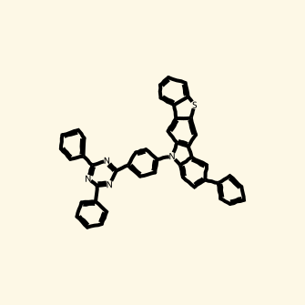 c1ccc(-c2ccc3c(c2)c2cc4sc5ccccc5c4cc2n3-c2ccc(-c3nc(-c4ccccc4)nc(-c4ccccc4)n3)cc2)cc1